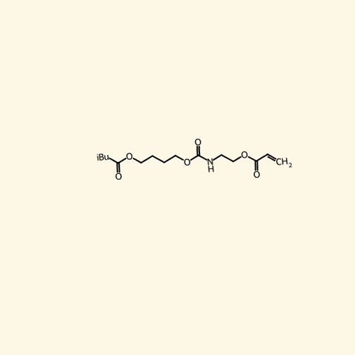 C=CC(=O)OCCNC(=O)OCCCCOC(=O)C(C)CC